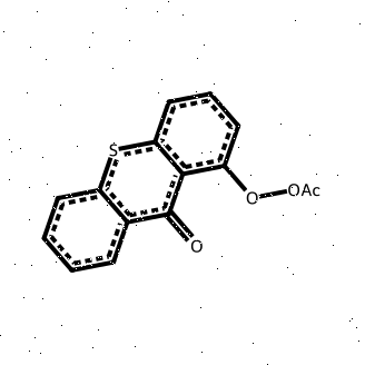 CC(=O)OOc1cccc2sc3ccccc3c(=O)c12